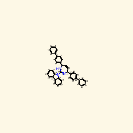 C1#CC(c2ccc(-c3ccccc3)cc2)NC(n2c3ccccc3c3ccccc32)=NC1c1ccc(-c2ccccc2)cc1